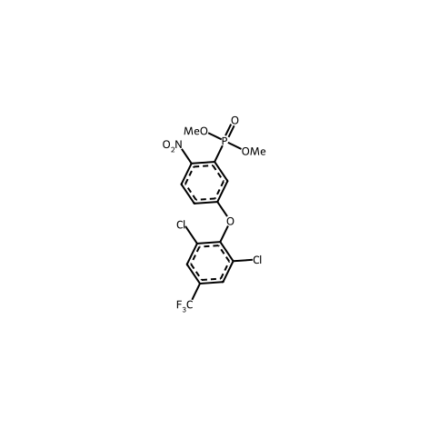 COP(=O)(OC)c1cc(Oc2c(Cl)cc(C(F)(F)F)cc2Cl)ccc1[N+](=O)[O-]